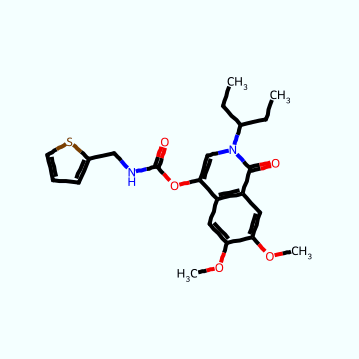 CCC(CC)n1cc(OC(=O)NCc2cccs2)c2cc(OC)c(OC)cc2c1=O